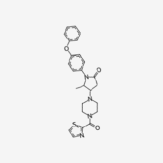 CC1C(N2CCN(C(=O)c3nccs3)CC2)CC(=O)N1c1ccc(Oc2ccccc2)cc1